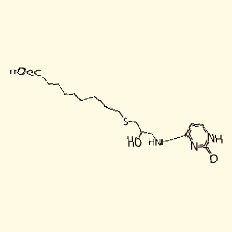 CCCCCCCCCCCCCCCCCCSCC(O)CNc1cc[nH]c(=O)n1